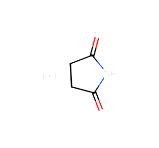 Cl.O=C1CCC(=O)N1